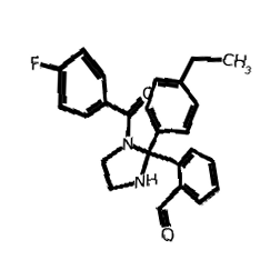 CCc1ccc(C2(c3ccccc3C=O)NCCN2C(=O)c2ccc(F)cc2)cc1